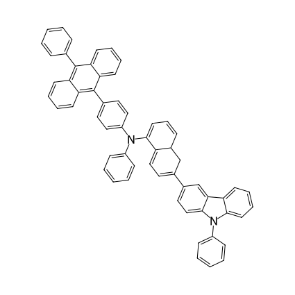 C1=CC2CC(c3ccc4c(c3)c3ccccc3n4-c3ccccc3)=CC=C2C(N(c2ccccc2)c2ccc(-c3c4ccccc4c(-c4ccccc4)c4ccccc34)cc2)=C1